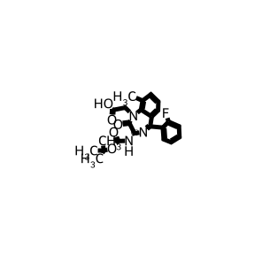 Cc1cccc2c1N(CC(=O)O)C(=O)[C@@H](NC(=O)OC(C)(C)C)N=C2c1ccccc1F